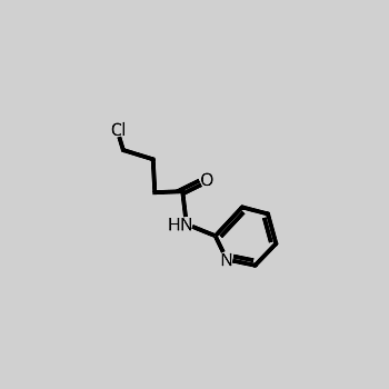 O=C(CCCCl)Nc1ccccn1